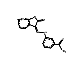 NC(=O)c1cccc(NC=C2C(=O)Nc3ncccc32)c1